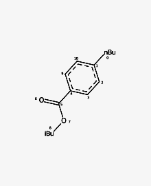 CCCCc1ccc(C(=O)OC(C)CC)cc1